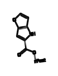 CCCCCOC(=O)c1cc2occc2[nH]1